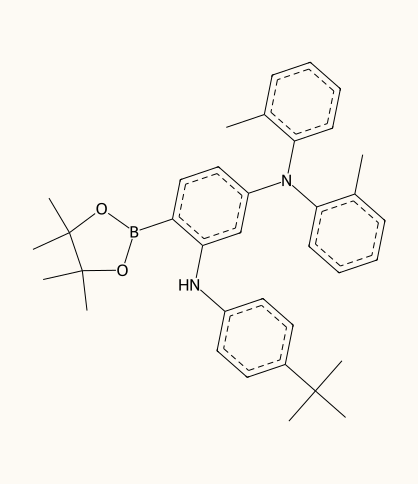 Cc1ccccc1N(c1ccc(B2OC(C)(C)C(C)(C)O2)c(Nc2ccc(C(C)(C)C)cc2)c1)c1ccccc1C